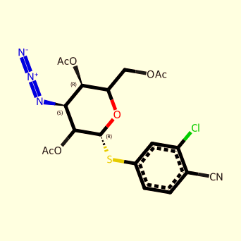 CC(=O)OCC1O[C@H](Sc2ccc(C#N)c(Cl)c2)C(OC(C)=O)[C@@H](N=[N+]=[N-])[C@H]1OC(C)=O